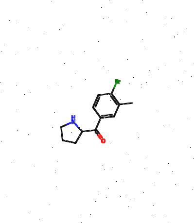 Cc1cc(C(=O)C2CCCN2)ccc1Br